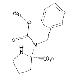 CC(C)(C)OC(=O)N(Cc1ccccc1)[C@@]1(C(=O)O)CCCN1